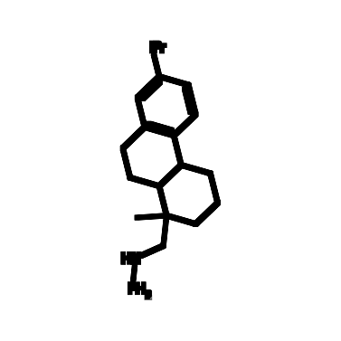 CC(C)c1ccc2c(c1)CCC1C2CCCC1(C)CNP